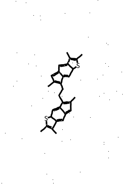 CC1=C(CCC2=C(C)C=C3C=C4C(C)=C(C)SC4C=C32)C2=CC3SC(C)=C(C)C3=CC2=C1